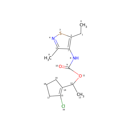 CCc1snc(C)c1NC(=O)OC(C)C1=C(Cl)CCC1